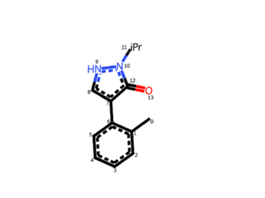 Cc1ccccc1-c1c[nH]n(C(C)C)c1=O